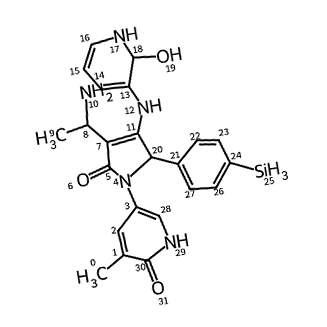 Cc1cc(N2C(=O)C(C(C)N)=C(NC3=CC=CNC3O)C2c2ccc([SiH3])cc2)c[nH]c1=O